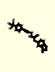 O=C(Cc1ccc2cc[nH]c2c1)NCC#Cc1ccc(C(F)(F)F)cc1